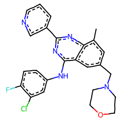 Cc1cc(CN2CCOCC2)cc2c(Nc3ccc(F)c(Cl)c3)nc(-c3cccnc3)nc12